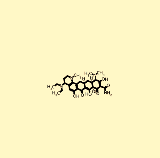 CCN(CC)C1CCN(C)c2c1cc(O)c1c2C[C@H]2C[C@H]3[C@@H](N(C)C)C(O)=C(C(N)=O)C(=O)[C@@]3(O)C(O)=C2C1=O